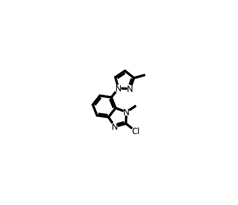 Cc1ccn(-c2cccc3nc(Cl)n(C)c23)n1